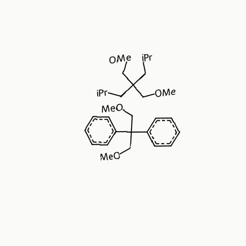 COCC(COC)(CC(C)C)CC(C)C.COCC(COC)(c1ccccc1)c1ccccc1